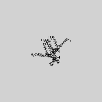 CCCCCCCCCCC[C@H](CC(=O)N[C@H]1[C@H](OC[C@H](NC(=O)C[C@@H](CCCCCCCCCCC)OC(=O)CCCCCCCCC)C(=O)O)O[C@H](CO)[C@@H](OP(=O)(OCc2ccccc2)OCc2ccccc2)[C@@H]1OC(=O)C[C@@H](CCCCCCCCCCC)OC(=O)CCCCCCCCC)OC(=O)CCCCCCCCC